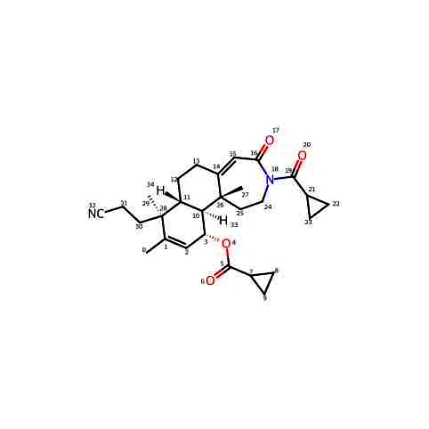 CC1=C[C@@H](OC(=O)C2CC2)[C@H]2[C@@H](CCC3=CC(=O)N(C(=O)C4CC4)CC[C@@]32C)[C@]1(C)CCC#N